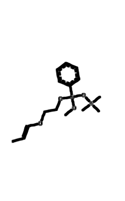 CC=COCCO[Si](OC)(O[Si](C)(C)C)c1ccccc1